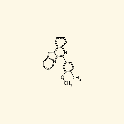 COc1cc(-c2nc3ccccc3c3cc4ccccn4c23)ccc1C